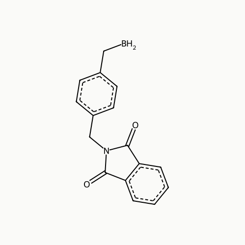 BCc1ccc(CN2C(=O)c3ccccc3C2=O)cc1